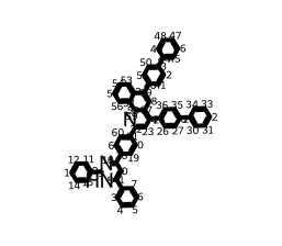 C1=C(c2ccccc2)NC(c2ccccc2)N=C1c1ccc(-c2cc(-c3ccc(-c4ccccc4)cc3)c3cc(-c4ccc(-c5ccccc5)cc4)c4ccccc4c3n2)cc1